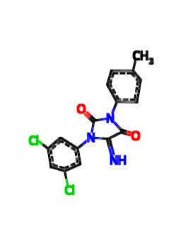 Cc1ccc(N2C(=O)C(=N)N(c3cc(Cl)cc(Cl)c3)C2=O)cc1